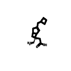 NC[C@]1(CC(=O)O)CC2CC(CC3CCC3)=CC21